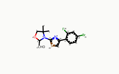 CC1(C)COC(C=O)N1c1nc(-c2ccc(Br)cc2F)cs1